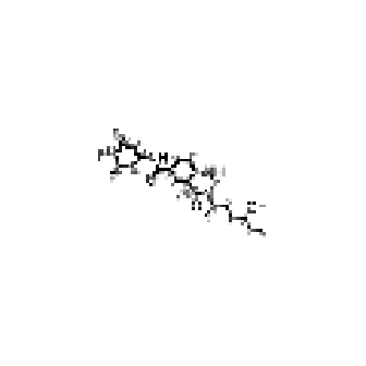 CC[C@@H](O)CC[C@@H](C)N1CNc2ccc(C(=O)Nc3cc(F)c(F)c(F)c3)cc2S1(=O)=O